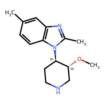 CO[C@@H]1CNCC[C@H]1n1c(C)nc2cc(C)ccc21